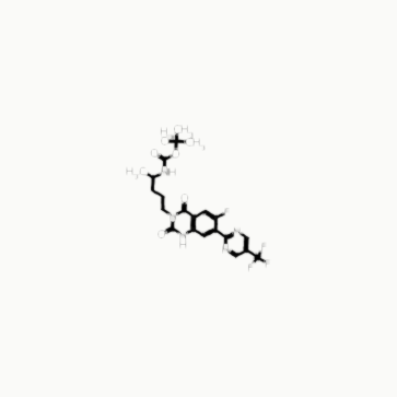 CC(CCCn1c(=O)[nH]c2cc(-c3ncc(C(F)(F)F)cn3)c(F)cc2c1=O)NC(=O)OC(C)(C)C